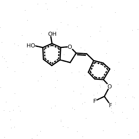 Oc1ccc2c(c1O)OC(=Cc1ccc(OC(F)F)cc1)C2